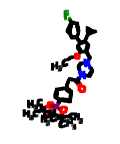 CCOc1cc(-c2ccc(F)cc2)c(C2CC2)cc1CN1CCN(C(=O)Cc2ccc(P(=O)(OC(C)(C)C)OC(C)(C)C)cc2)CC1